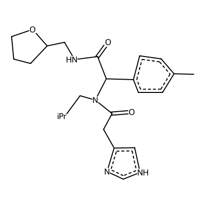 Cc1ccc(C(C(=O)NCC2CCCO2)N(CC(C)C)C(=O)Cc2c[nH]cn2)cc1